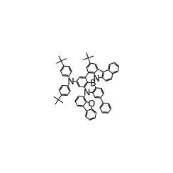 CC(C)(C)c1ccc(N(c2ccc(C(C)(C)C)cc2)c2cc3c4c(c2)N(c2cccc5c2oc2ccccc25)c2cc(-c5ccccc5)ccc2B4n2c4ccc5ccccc5c4c4cc(C(C)(C)C)cc-3c42)cc1